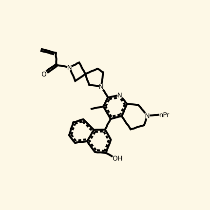 C=CC(=O)N1CC2(CCN(c3nc4c(c(-c5cc(O)cc6ccccc56)c3C)CCN(CCC)C4)C2)C1